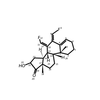 C[C@]12CCCC=C1C(=CF)C(=CF)[C@@H]1[C@H]2CC[C@]2(C)C(=O)C(O)C[C@@H]12